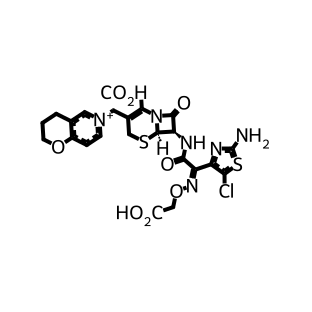 Nc1nc(/C(=N/OCC(=O)O)C(=O)N[C@@H]2C(=O)N3C(C(=O)O)=C(C[n+]4ccc5c(c4)CCCO5)CS[C@H]23)c(Cl)s1